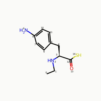 CCN[C@@H](Cc1ccc(N)cc1)C(=O)S